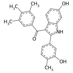 Cc1ccc(-c2[nH]c3cc(O)ccc3c2C(=O)c2cc(C)c(C)c(C)c2)cc1O